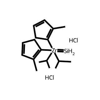 CC1=[C]([Zr](=[SiH2])([C]2=C(C)C=CC2)([CH](C)C)[CH](C)C)CC=C1.Cl.Cl